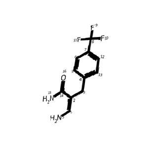 NC=C(Cc1ccc(C(F)(F)F)cc1)C(N)=O